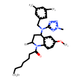 CCOC(=O)CCCCCC(=O)N1c2ccc(OC(F)(F)F)cc2C(N(Cc2cc(C(F)(F)F)cc(C(F)(F)F)c2)c2nnn(C)n2)CC1CC